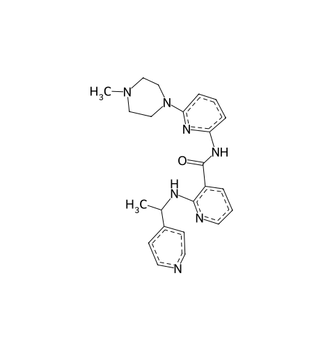 CC(Nc1ncccc1C(=O)Nc1cccc(N2CCN(C)CC2)n1)c1ccncc1